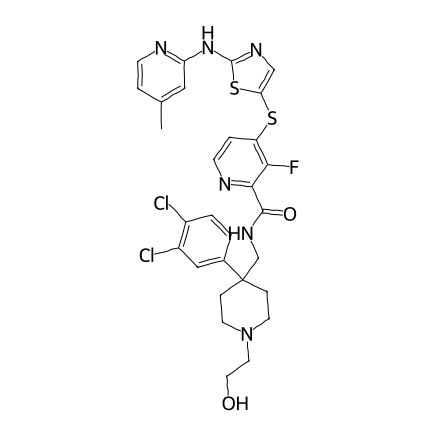 Cc1ccnc(Nc2ncc(Sc3ccnc(C(=O)NCC4(c5ccc(Cl)c(Cl)c5)CCN(CCO)CC4)c3F)s2)c1